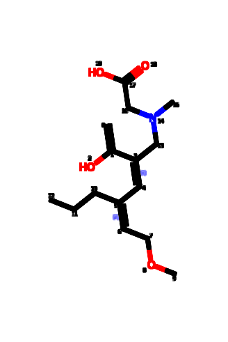 C=C(O)/C(=C\C(=C/COC)CCC)CN(C)CC(=O)O